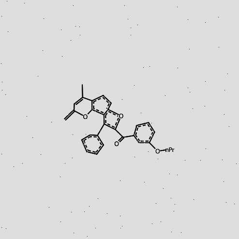 C=C1C=C(C)c2ccc3oc(C(=O)c4cccc(OCCC)c4)c(-c4ccccc4)c3c2O1